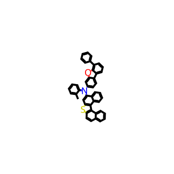 Cc1ccccc1N(c1ccc2c(c1)oc1c(-c3ccccc3)cccc12)c1cc2sc3ccc4ccccc4c3c2c2ccccc12